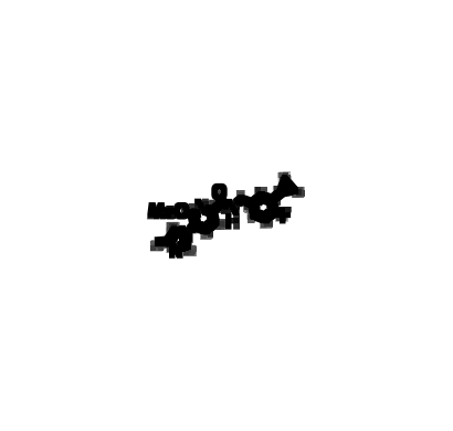 COc1nc(C(=O)NCc2ccc(F)c(C3CC3)c2)ccc1-n1cnc(C)c1